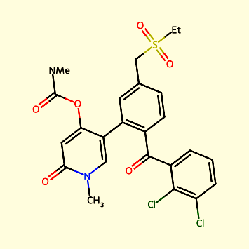 CCS(=O)(=O)Cc1ccc(C(=O)c2cccc(Cl)c2Cl)c(-c2cn(C)c(=O)cc2OC(=O)NC)c1